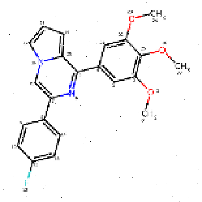 COc1cc(-c2nc(-c3ccc(F)cc3)cn3cccc23)cc(OC)c1OC